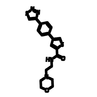 O=C(NCCN1CCOCC1)c1cc(-c2ccc(-c3csnn3)cc2)cs1